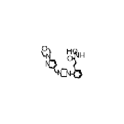 O=C(C=Cc1ccccc1N1CCN(Cc2ccc(N3CCOCC3)nc2)CC1)NO